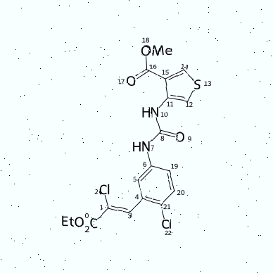 CCOC(=O)C(Cl)=Cc1cc(NC(=O)Nc2cscc2C(=O)OC)ccc1Cl